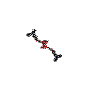 CCOC(=O)c1cc(OCCCCCCOc2ccc(-c3ccc(N(c4ccc(C(C)(C)C)cc4)c4ccc(C(C)(C)C)cc4)cc3)cc2)c(C(=O)OCC)cc1OCCCCCCOc1ccc(-c2ccc(N(c3ccc(C(C)(C)C)cc3)c3ccc(C(C)(C)C)cc3)cc2)cc1